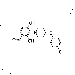 O=Cc1ccc(O)c(N2CCC(Oc3ccc(Cl)cc3)CC2)c1O